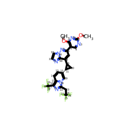 COc1ncc(-c2cc(C3C[C@@H]3c3ccc4c(C(F)(F)F)nc(CC(F)(F)F)n4c3)c3nccn3n2)c(OC)n1